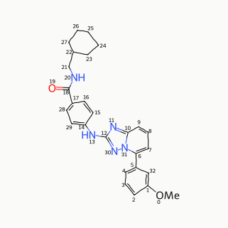 COc1cccc(-c2cccc3nc(Nc4ccc(C(=O)NCC5CCCCC5)cc4)nn23)c1